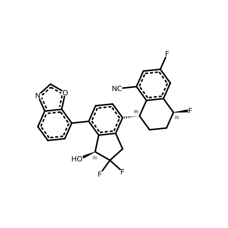 N#Cc1cc(F)cc2c1[C@@H](c1ccc(-c3cccc4ncoc34)c3c1CC(F)(F)[C@H]3O)CC[C@@H]2F